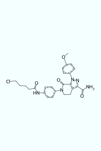 COc1ccc(-n2nc(C(N)=O)c3c2C(=O)N(c2ccc(NC(=O)CCCCCl)cc2)CC3)cc1